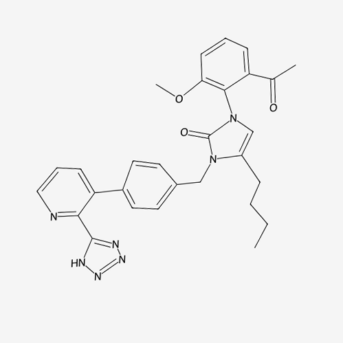 CCCCc1cn(-c2c(OC)cccc2C(C)=O)c(=O)n1Cc1ccc(-c2cccnc2-c2nnn[nH]2)cc1